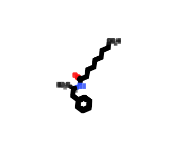 O=C(O)CCCCCCCC(=O)N[C@@H](Cc1ccccc1)C(=O)O